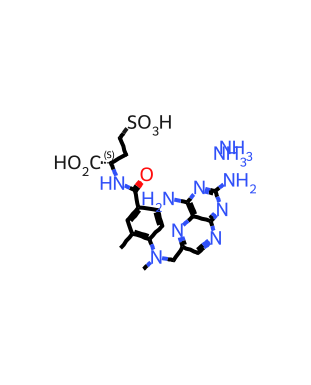 Cc1cc(C(=O)N[C@@H](CCS(=O)(=O)O)C(=O)O)ccc1N(C)Cc1cnc2nc(N)nc(N)c2n1.N.N